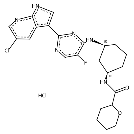 Cl.O=C(N[C@@H]1CCC[C@H](Nc2nc(-c3c[nH]c4ncc(Cl)cc34)ncc2F)C1)C1CCCCO1